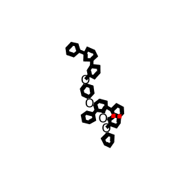 c1ccc(Oc2ccccc2Oc2c(-c3ccccc3)ccc(Oc3ccc(Oc4cccc(-c5cccc(-c6ccccc6)c5)c4)cc3)c2-c2ccccc2)cc1